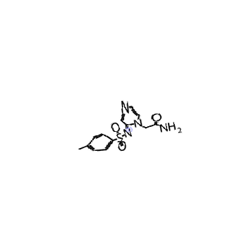 Cc1ccc(S(=O)(=O)/N=c2\cnccn2CC(N)=O)cc1